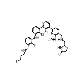 COc1nc(-c2ccnc(-c3cccc(Nc4cccc(CNCCCF)c4F)c3Cl)c2Cl)ccc1CNC[C@H]1CCC(=O)N1